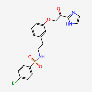 O=C(COc1cccc(CCNS(=O)(=O)c2ccc(Br)cc2)c1)c1ncc[nH]1